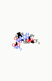 CC(C)[C@H](NC(=O)N[C@H](C(=O)N1C[C@H]2[C@@H]([C@H]1C(=O)NCC(=O)C(N)=O)C2(C)C)C(C)(C)C)C(=O)OC(C)(C)C(F)(F)F